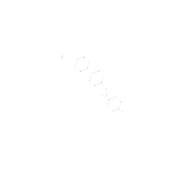 CCCC1CCC(C2CCC(COC3CCC(CC)CC3)CC2)CC1